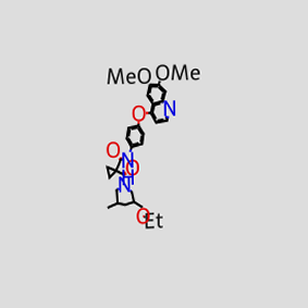 CCOCC1CC(C)CN(C(=O)C2(C(=O)Nc3ccc(Oc4ccnc5cc(OC)c(OC)cc45)cc3)CC2)C1